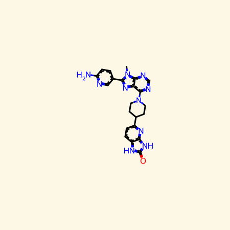 Cn1c(-c2ccc(N)nc2)nc2c(N3CCC(c4ccc5[nH]c(=O)[nH]c5n4)CC3)ncnc21